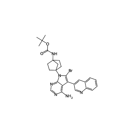 CC(C)(C)OC(=O)NC12CCC(n3c(Br)c(-c4cnc5ccccc5c4)c4c(N)ncnc43)(CC1)C2